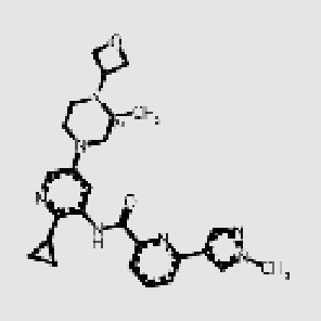 C[C@H]1CN(c2cnc(C3CC3)c(NC(=O)c3cccc(-c4cnn(C)c4)n3)c2)CCN1C1COC1